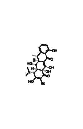 CC(=O)C1=C(O)[C@H](N(C)C)[C@H]2[C@H](O)[C@@H]3C(=C(O)[C@@]2(O)C1=O)C(=O)c1c(O)cccc1[C@H]3C